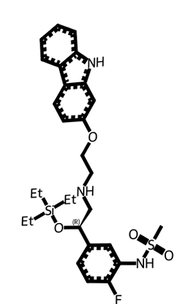 CC[Si](CC)(CC)O[C@@H](CNCCOc1ccc2c(c1)[nH]c1ccccc12)c1ccc(F)c(NS(C)(=O)=O)c1